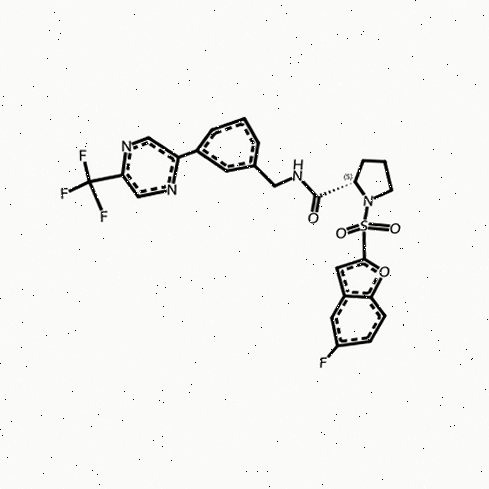 O=C(NCc1cccc(-c2cnc(C(F)(F)F)cn2)c1)[C@@H]1CCCN1S(=O)(=O)c1cc2cc(F)ccc2o1